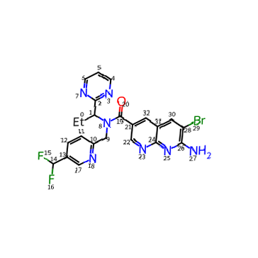 CCC(c1ncccn1)N(Cc1ccc(C(F)F)cn1)C(=O)c1cnc2nc(N)c(Br)cc2c1